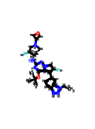 [2H]C([2H])([2H])Oc1nc(N[C@H]2CCN(C3COC3)C[C@@H]2F)nn2cc(F)c(-c3ccc4nnn(CC(F)(F)F)c4c3)c12